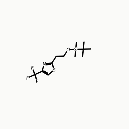 CC(C)(C)[Si](C)(C)OCCc1nc(C(F)(F)F)cs1